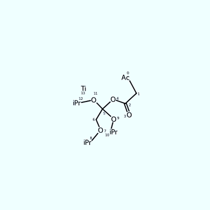 CC(=O)CC(=O)OC(COC(C)C)(OC(C)C)OC(C)C.[Ti]